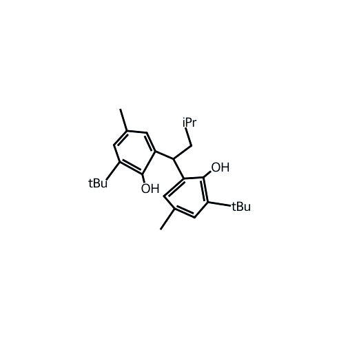 Cc1cc(C(CC(C)C)c2cc(C)cc(C(C)(C)C)c2O)c(O)c(C(C)(C)C)c1